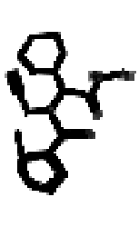 C#CCN(C(=O)c1ccccc1C)C(C(=O)NCCCC)C1CCCCC1